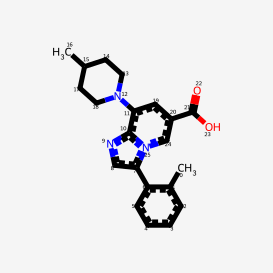 Cc1ccccc1-c1cnc2c(N3CCC(C)CC3)cc(C(=O)O)cn12